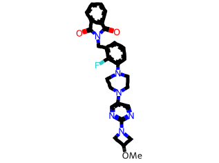 COC1CN(c2ncc(N3CCN(c4cccc(CN5C(=O)c6ccccc6C5=O)c4F)CC3)cn2)C1